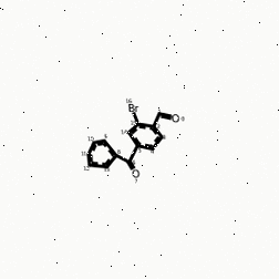 O=Cc1ccc(C(=O)c2ccccc2)cc1Br